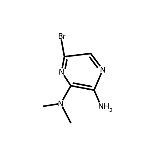 CN(C)c1nc(Br)cnc1N